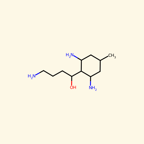 CC1CC(N)C(C(O)CCCN)C(N)C1